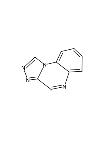 [c]1nc2ccccc2n2cnnc12